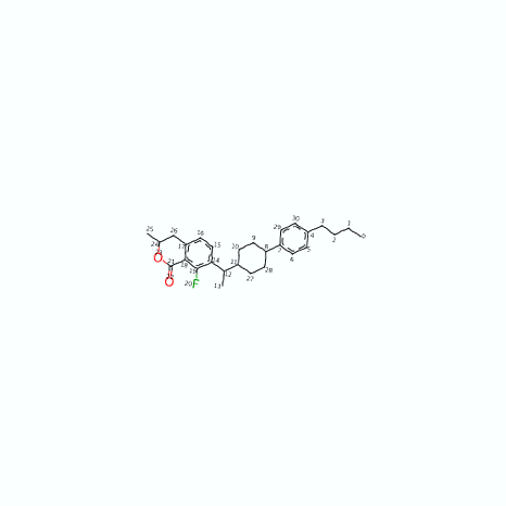 CCCCc1ccc(C2CCC(C(C)c3ccc4c(c3F)C(=O)OC(C)C4)CC2)cc1